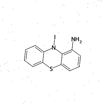 Nc1cccc2c1N(I)c1ccccc1S2